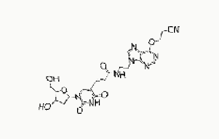 N#CCCOc1ncnc2c1ncn2CCNC(=O)/C=C/c1cn([C@H]2C[C@@H](O)[C@@H](CO)O2)c(=O)[nH]c1=O